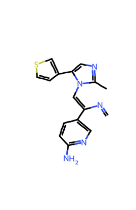 C=N/C(=C\n1c(-c2ccsc2)cnc1C)c1ccc(N)nc1